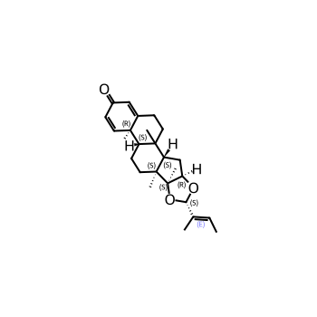 C/C=C(\C)[C@H]1O[C@@H]2C[C@H]3C4(C)CCC5=CC(=O)C=C[C@]5(C)[C@H]4CC[C@]3(C)[C@]2(C)O1